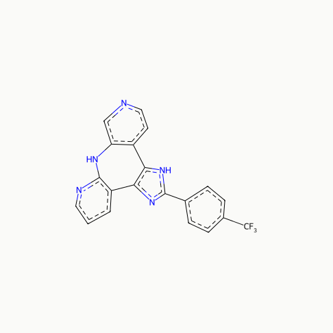 FC(F)(F)c1ccc(-c2nc3c([nH]2)-c2ccncc2Nc2ncccc2-3)cc1